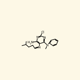 CC(C)CC/C=N\c1c(N)nc(Cl)nc1N(C)c1ccccc1